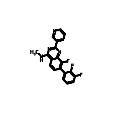 CNc1nc(-c2cccnc2)nc2c(F)c(-c3cccc(F)c3F)ccc12